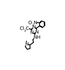 CN1CCCC1CCNc1nc(-c2ccccc2[N+](=O)[O-])nc(C(Cl)(Cl)Cl)n1